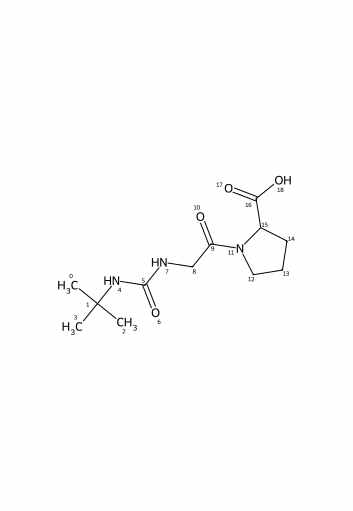 CC(C)(C)NC(=O)NCC(=O)N1CCCC1C(=O)O